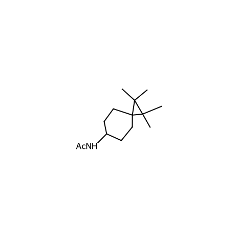 CC(=O)NC1CCC2(CC1)C(C)(C)C2(C)C